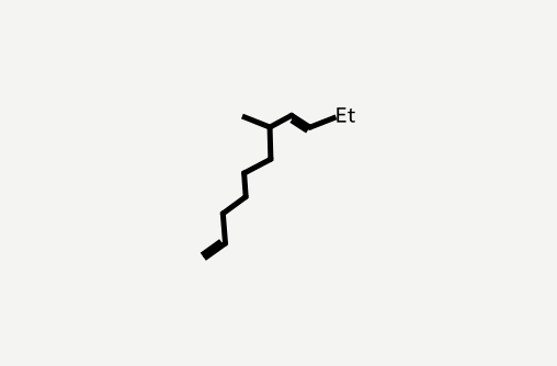 C=CCCCCC(C)/C=C/CC